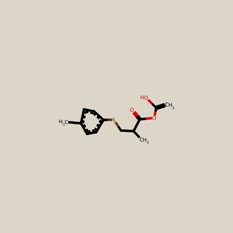 C=C(O)OC(=O)C(C)CSc1ccc(C)cc1